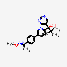 CO/N=C(\C)c1ccc(-c2ccc(C(O)(c3cncnc3)C(C)(C)C)nc2)cc1